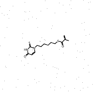 C=C(C)C(=O)SCCCCCCn1ccc(=O)[nH]c1=S